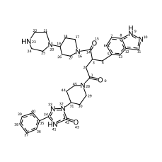 O=C(CC(Cc1ccc2[nH]ncc2c1)C(=O)N1CCC(N2CCNCC2)CC1)N1CCC(n2nc(-c3ccccc3)[nH]c2=O)CC1